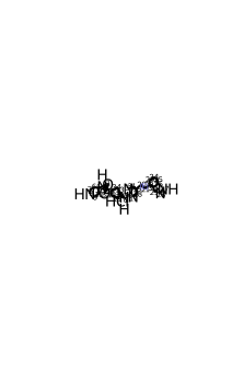 Cl.O=S(=O)(NC1CCNCC1)c1ccc(Nc2ncc(/C=C/c3cccc4[nH]ncc34)cn2)cc1